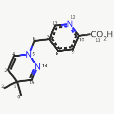 CC1(C)C=CN(Cc2ccc(C(=O)O)nc2)N=C1